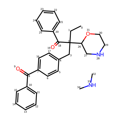 CCC(Cc1ccc(C(=O)c2ccccc2)cc1)(C(=O)c1ccccc1)C1CNCCO1.CNC